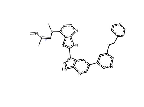 C=N/C(C)=C\N(C)c1ccnc2[nH]c(-c3n[nH]c4ncc(-c5cncc(OCc6ccccc6)c5)cc34)nc12